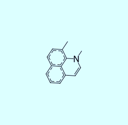 Cc1ccc2cccc3c2c1N(C)C=C3